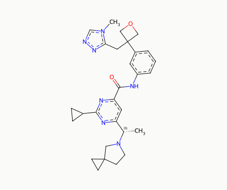 C[C@@H](c1cc(C(=O)Nc2cccc(C3(Cc4nncn4C)COC3)c2)nc(C2CC2)n1)N1CCC2(CC2)C1